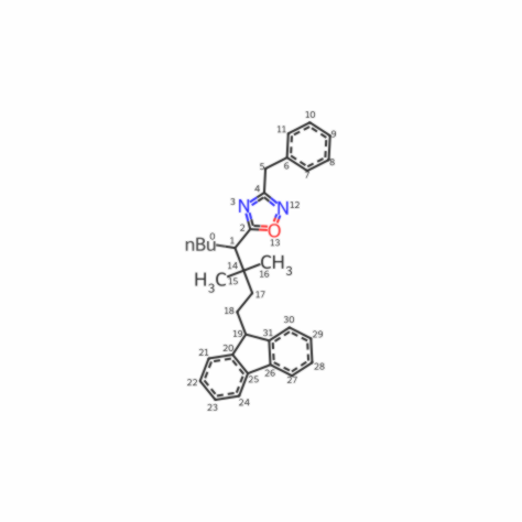 CCCCC(c1nc(Cc2ccccc2)no1)C(C)(C)CCC1c2ccccc2-c2ccccc21